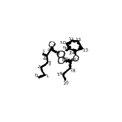 CCCCC(C)C(=O)Oc1ccccc1OC(=O)CCC